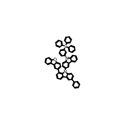 c1ccc(-c2ccc3c(c2)c2cccc(-c4ccc5oc6ccccc6c5c4)c2n3-c2ccc3c(c2)c2ccccc2n3-c2cccc([Si](c3ccccc3)(c3ccccc3)c3ccccc3)c2)cc1